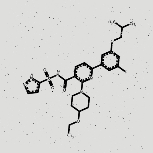 CCOC1CCN(c2nc(-c3cc(F)cc(OCC(C)C)c3)ccc2C(=O)NS(=O)(=O)c2ccn[nH]2)CC1